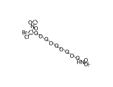 COc1ccccc1N(C)C(=O)c1cc(Br)c(Cl)cc1OCCOCCOCCOCCOCCOCCOCCOCCOCCNC(=O)OC(C)(C)C